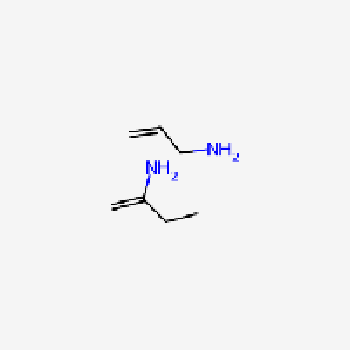 C=C(N)CC.C=CCN